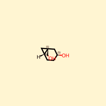 OC[C@@]12C[C@@H](O)CC[C@@H]1C2